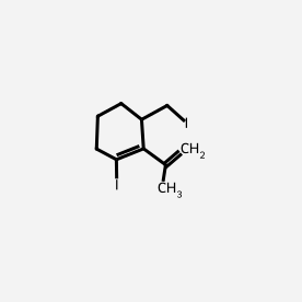 C=C(C)C1=C(I)CCCC1CI